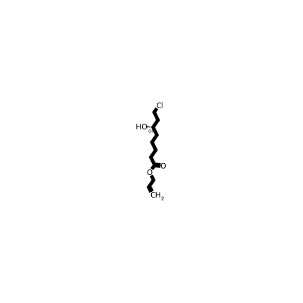 C=CCOC(=O)CCCC[C@H](O)CCCl